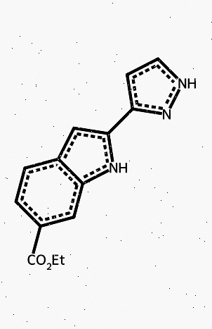 CCOC(=O)c1ccc2cc(-c3cc[nH]n3)[nH]c2c1